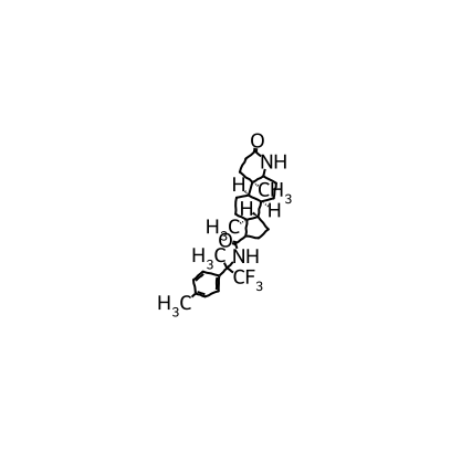 Cc1ccc(C(C)(NC(=O)C2CC[C@H]3[C@@H]4CCC5NC(=O)CC[C@]5(C)[C@@H]4CC[C@]23C)C(F)(F)F)cc1